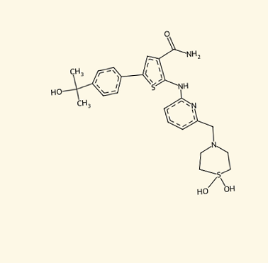 CC(C)(O)c1ccc(-c2cc(C(N)=O)c(Nc3cccc(CN4CCS(O)(O)CC4)n3)s2)cc1